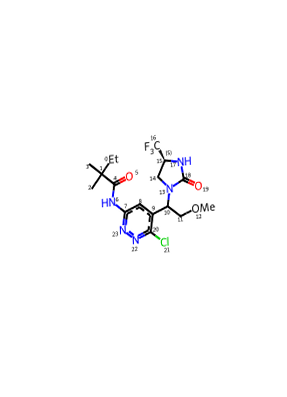 CCC(C)(C)C(=O)Nc1cc(C(COC)N2C[C@@H](C(F)(F)F)NC2=O)c(Cl)nn1